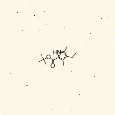 CCc1c(C)[nH]c(C(=O)OC(C)(C)C)c1C